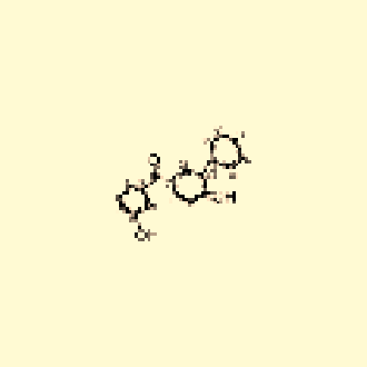 O=C(c1cccc(O)c1)c1ccc(O)c(-c2ccccc2)c1